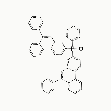 O=P(c1ccccc1)(c1ccc2c(c1)cc(-c1ccccc1)c1ccccc12)c1ccc2c(c1)cc(-c1ccccc1)c1ccccc12